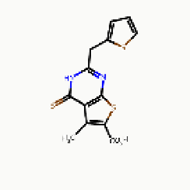 Cc1c(C(=O)O)sc2nc(Cc3cccs3)[nH]c(=S)c12